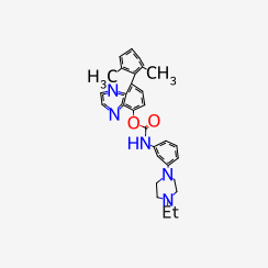 CCN1CCN(c2cccc(NC(=O)Oc3ccc(-c4c(C)cccc4C)c4nccnc34)c2)CC1